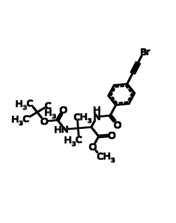 COC(=O)C(NC(=O)c1ccc(C#CBr)cc1)C(C)(C)NC(=O)OC(C)(C)C